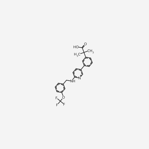 CC(C)(C(=O)O)c1cccc(-c2ccc(NCc3cccc(OC(F)(F)F)c3)nc2)c1